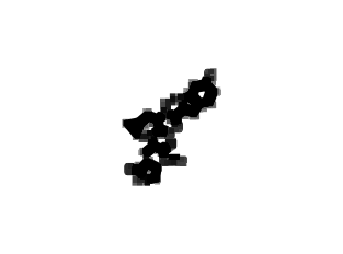 COC(=O)C(C[C@@H]1CCNC1=O)NC(=O)C(CC1CC1)NC(=O)c1cc2ccc(Cl)cc2[nH]1